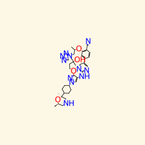 CC(Cn1cnnn1)Oc1cc(-c2cnc(Nc3cn(C4CCC([C@@]5(C)CNC[C@@H](C)O5)CC4)nc3OCCC(C)(C)O)nc2)ccc1C#N